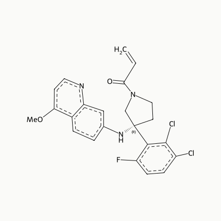 C=CC(=O)N1CC[C@@](Nc2ccc3c(OC)ccnc3c2)(c2c(F)ccc(Cl)c2Cl)C1